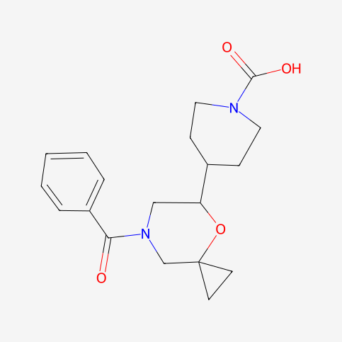 O=C(O)N1CCC(C2CN(C(=O)c3ccccc3)CC3(CC3)O2)CC1